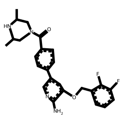 CC1CN(C(=O)c2ccc(-c3cnc(N)c(OCc4cccc(F)c4F)c3)cc2)CC(C)N1